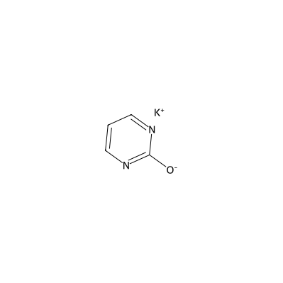 [K+].[O-]c1ncccn1